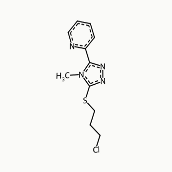 Cn1c(SCCCCl)nnc1-c1ccccn1